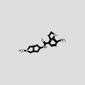 CN1CC2CC(NC(=O)c3ccc(N)c4c3CCO4)CC2C1